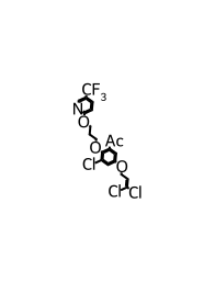 CC(=O)c1cc(OCC=C(Cl)Cl)cc(Cl)c1OCCCOc1ccc(C(F)(F)F)cn1